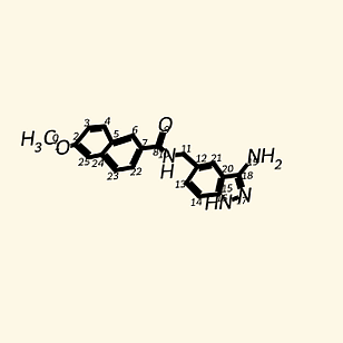 COc1ccc2cc(C(=O)NCc3ccc4[nH]nc(N)c4c3)ccc2c1